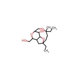 CCC1(C)CCC2(CC)CC3C(CO)OC(CO1)C(O)C3O2